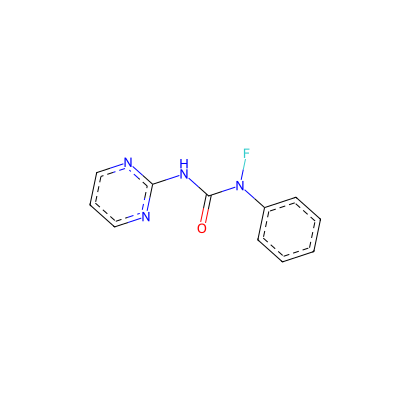 O=C(Nc1ncccn1)N(F)c1ccccc1